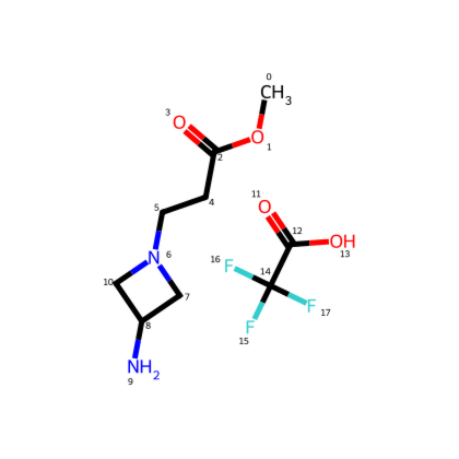 COC(=O)CCN1CC(N)C1.O=C(O)C(F)(F)F